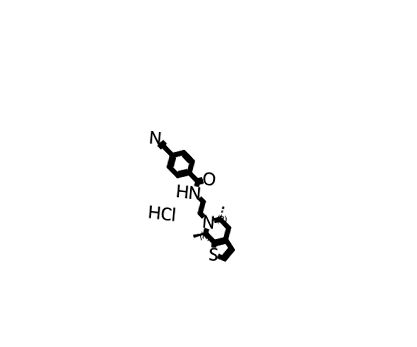 C[C@@H]1Cc2ccsc2[C@@H](C)N1CCNC(=O)c1ccc(C#N)cc1.Cl